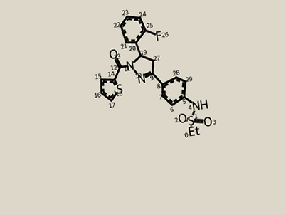 CCS(=O)(=O)Nc1ccc(C2=NN(C(=O)c3cccs3)C(c3ccccc3F)C2)cc1